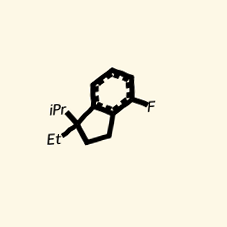 CCC1(C(C)C)CCc2c(F)cccc21